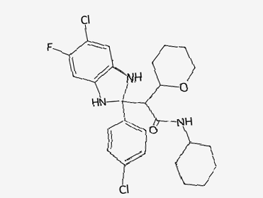 O=C(NC1CCCCC1)C(C1CCCCO1)C1(c2ccc(Cl)cc2)Nc2cc(F)c(Cl)cc2N1